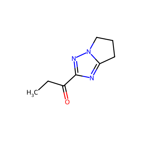 CCC(=O)c1nc2n(n1)CCC2